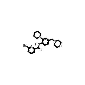 O=C(Nc1ccc(CN2CCOCC2)cc1N1CCCCC1)c1cccc(Br)n1